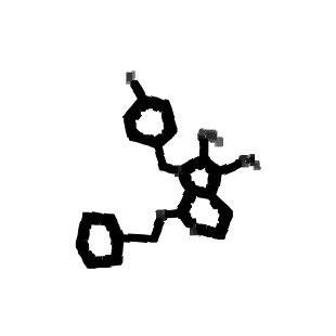 Cc1c(C)n(Cc2ccc(F)cc2)c2c(OCc3ccccc3)nccc12